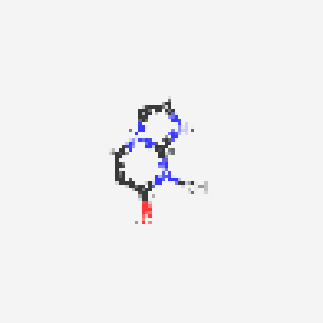 Cn1c(=O)ccn2ccnc12